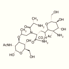 CC(=O)N[C@@H]1[C@@H](OC(C)CN(C(=O)[C@H](C)N)[C@H](CC(C(=O)O)C2O[C@H](CO)[C@@H](O)[C@H](O)[C@]2(N)C(C)=O)C(N)=O)[C@H](O)[C@@H](CO)O[C@@H]1O